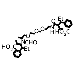 CCC(c1ccccc1)C(C(=O)NCCOCOCCOCC(C)N(C=O)C(C(C)C(=O)O)C(CC)c1ccccc1)C(C)C(=O)O